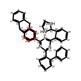 C1=CCC2C(=C1)C1c3ccccc3C2c2ccc(-c3nc(-c4ccccc4-c4ccccc4)nc(-c4ccccc4C4NC=CN4)n3)cc21